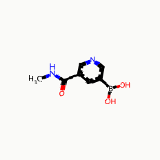 CNC(=O)c1cncc(B(O)O)c1